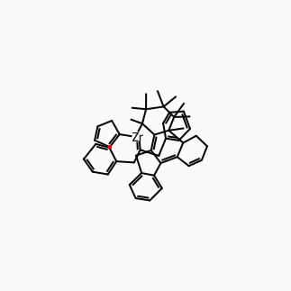 CC12C(=C3Cc4ccccc4C3=C3C=CCCC31)[C](C)([Zr]([C]1=CC=CC1)=[C](Cc1ccccc1)Cc1ccccc1)C(C)(C)C(C)(C)C2(C)C